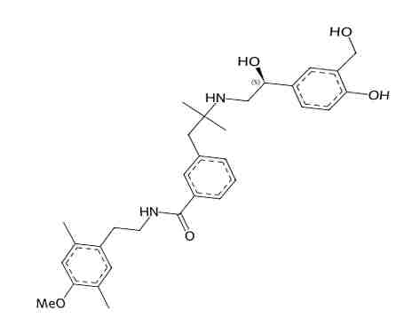 COc1cc(C)c(CCNC(=O)c2cccc(CC(C)(C)NC[C@@H](O)c3ccc(O)c(CO)c3)c2)cc1C